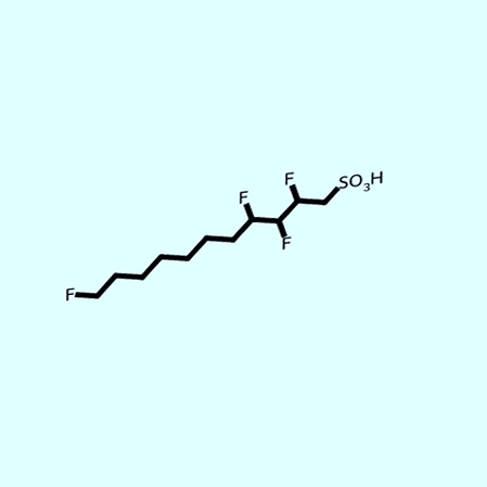 O=S(=O)(O)CC(F)C(F)C(F)CCCCCCCF